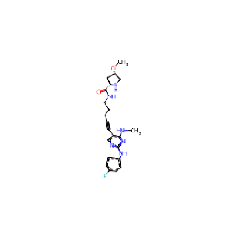 CNc1nc(Nc2ccc(F)cc2)ncc1C#CCCCNC(=O)[C@@H]1C[C@H](OC)CN1